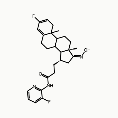 CC12CC=C(F)C=C1CCC1C2CC[C@]2(C)/C(=N\O)C[C@@H](CCC(=O)Nc3ncccc3F)C12